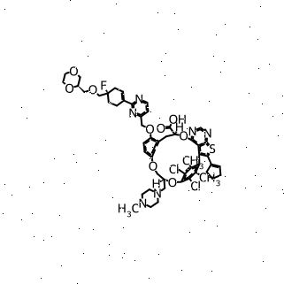 Cc1c(Cl)c2c(Cl)c(C)c1-c1c(C3=CCCC3)sc3ncnc(c13)O[C@@H](C(=O)O)Cc1cc(ccc1OCc1ccnc(C3=CC[C@@](F)(COC[C@@H]4COCCO4)CC3)n1)OC[C@@H](CN1CCN(C)CC1)O2